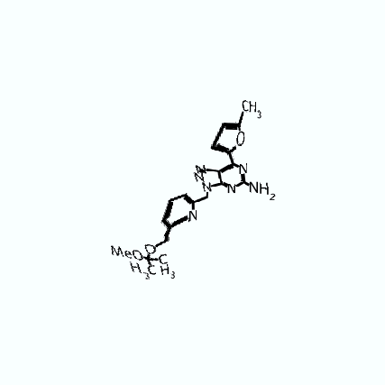 COC(C)(C)OCc1cccc(Cn2nnc3c(-c4ccc(C)o4)nc(N)nc32)n1